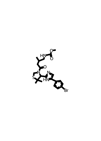 COC(=O)NCC(C)CC(=O)N1CSC(C)(C)C1c1ncc(-c2ccc(Br)cc2)[nH]1